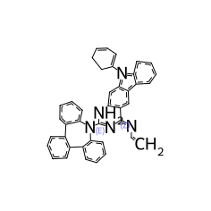 C=C/N=C(\N=C(/N)N1c2ccccc2-c2ccccc2-c2ccccc21)c1ccc2c(c1)c1ccccc1n2C1=CC=CCC1